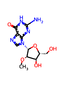 CO[C@H]1[C@H](O)[C@@H](CO)O[C@H]1n1cnc2c(=O)[nH]c(N)nc21